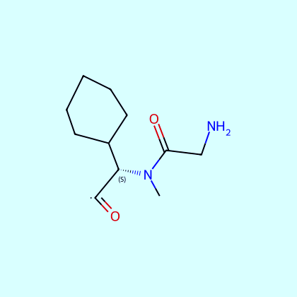 CN(C(=O)CN)[C@H]([C]=O)C1CCCCC1